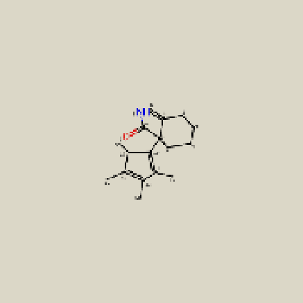 C=C1CCCCC1(C([NH])=O)C1=C(C)C(C)=C(C)C1C